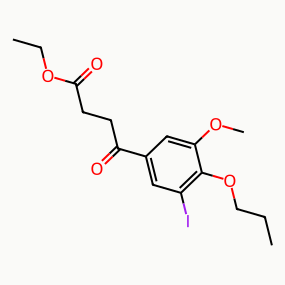 CCCOc1c(I)cc(C(=O)CCC(=O)OCC)cc1OC